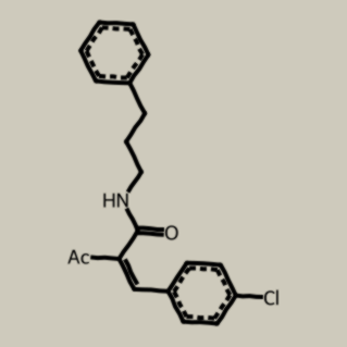 CC(=O)C(=Cc1ccc(Cl)cc1)C(=O)NCCCc1ccccc1